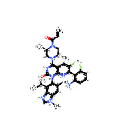 C=CC(=O)N1C[C@H](C)N(c2nc(=O)n(-c3c(C)cc4c(ncn4C)c3C(C)C)c3nc(-c4c(N)cccc4F)c(F)cc23)C[C@H]1C